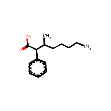 CCCCCC(C)C(C(=O)O)c1ccccc1